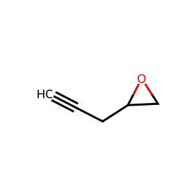 C#CCC1CO1